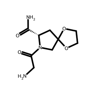 NCC(=O)N1CC2(C[C@H]1C(N)=O)OCCO2